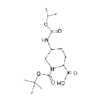 CC(C)OC(=O)NC1CCC(C(=O)O)N(C(=O)OC(C)(C)C)C1